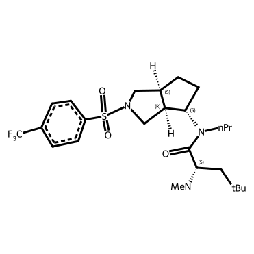 CCCN(C(=O)[C@H](CC(C)(C)C)NC)[C@H]1CC[C@@H]2CN(S(=O)(=O)c3ccc(C(F)(F)F)cc3)C[C@@H]21